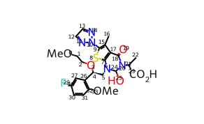 COCCO[C@@H](CN1c2sc(-n3nccn3)c(C)c2C(=O)N(C(C)C(=O)O)C1O)c1cc(F)ccc1OC